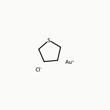 C1CCSC1.[Au+].[Cl-]